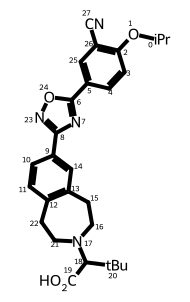 CC(C)Oc1ccc(-c2nc(-c3ccc4c(c3)CCN(C(C(=O)O)C(C)(C)C)CC4)no2)cc1C#N